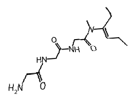 CC/C=C(\CC)N(C)C(=O)CNC(=O)CNC(=O)CN